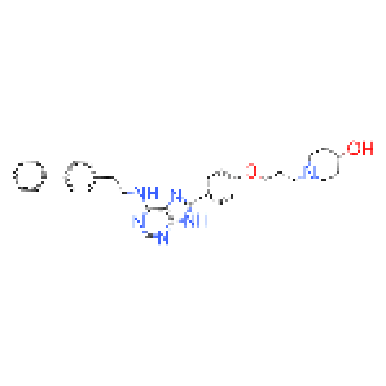 OC1CCN(CCCOc2ccc(-c3nc4c(NCCc5ccc(-c6ccccc6)cc5)ncnc4[nH]3)cc2)CC1